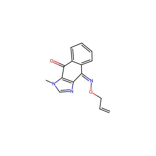 C=CCON=C1c2ccccc2C(=O)c2c1ncn2C